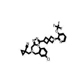 N#CC1(CN2Cc3cc(Cl)ccc3-n3c(nnc3C3CC4(C3)CN(c3ncccc3OC(F)(F)F)C4)C2)CC1